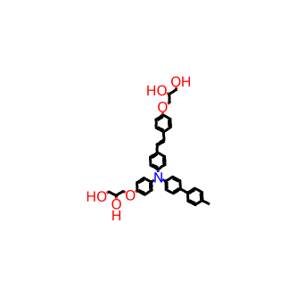 Cc1ccc(-c2ccc(N(c3ccc(C=Cc4ccc(OCC(O)CO)cc4)cc3)c3ccc(OCC(O)CO)cc3)cc2)cc1